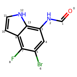 O=CNc1cc(Br)c(F)c2cc[nH]c12